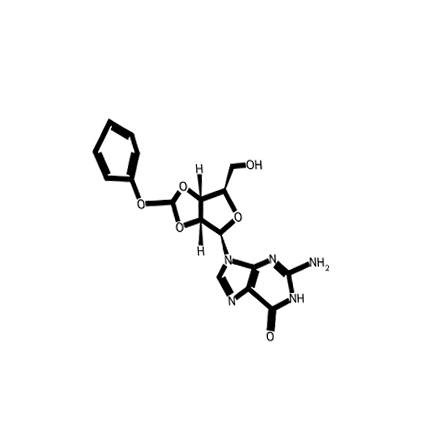 Nc1nc2c(ncn2[C@@H]2O[C@H](CO)[C@H]3OC(Oc4ccccc4)O[C@H]32)c(=O)[nH]1